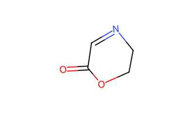 O=C1C=NCCO1